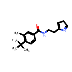 Cc1cc(C(=O)NCCC2=CCC=N2)ccc1C(C)(C)C